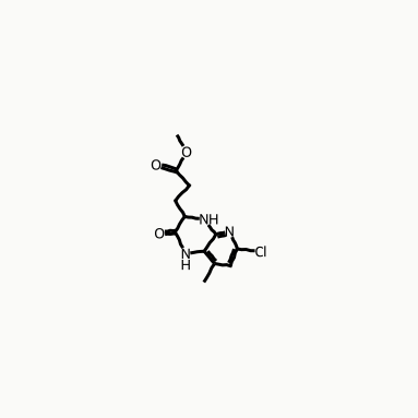 COC(=O)CCC1Nc2nc(Cl)cc(C)c2NC1=O